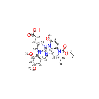 CCOC(=O)N1c2ccc(OC)nc2[C@@H](N(Cc2cc(OC)cc(OC)c2)c2ncc(CCC(=O)O)cn2)C[C@H]1CC